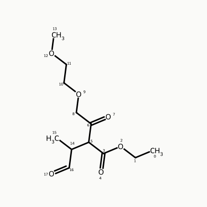 CCOC(=O)C(C(=O)COCCOC)C(C)C=O